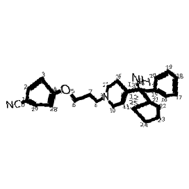 N#Cc1ccc(OCCCN2CCC([C@](N)(c3ccccc3)C3CCCC3)CC2)cc1